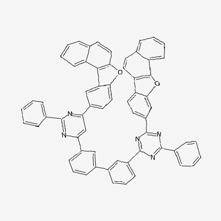 c1ccc(-c2nc(-c3cccc(-c4cccc(-c5nc(-c6ccccc6)nc(-c6ccc7c(c6)oc6c8ccccc8ccc76)n5)c4)c3)cc(-c3ccc4oc5ccc6ccccc6c5c4c3)n2)cc1